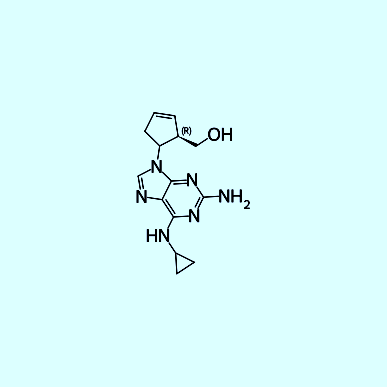 Nc1nc(NC2CC2)c2ncn(C3CC=C[C@H]3CO)c2n1